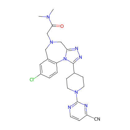 CN(C)C(=O)CN1Cc2cc(Cl)ccc2-n2c(nnc2C2CCN(c3nccc(C#N)n3)CC2)C1